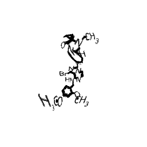 CCN1C[C@@H]2CC[C@@H](c3nc(Br)c4c(NCc5ccc(OC)cc5OC)nccn34)CN2C(=O)C12CC2